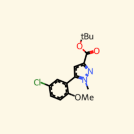 COc1ccc(Cl)cc1-c1cc(C(=O)OC(C)(C)C)nn1C